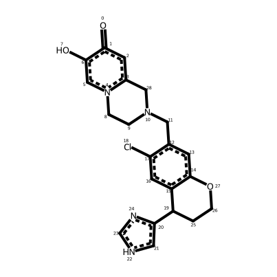 O=c1cc2n(cc1O)CCN(Cc1cc3c(cc1Cl)C(c1c[nH]cn1)CCO3)C2